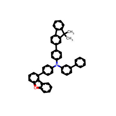 CC1(C)c2ccccc2-c2ccc(-c3ccc(N(c4ccc(-c5cccc6oc7ccccc7c56)cc4)c4cccc(-c5ccccc5)c4)cc3)cc21